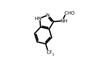 O=CNc1n[nH]c2ccc(C(F)(F)F)cc12